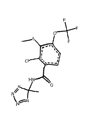 CSc1c(OC(F)(F)F)ccc(C(=O)NC2(C)N=NN=N2)c1Cl